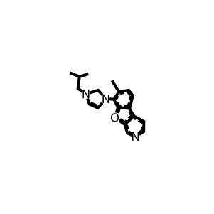 Cc1ccc2c(oc3cnccc32)c1N1C=CN(CC(C)C)C1